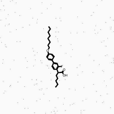 CCCCCCCCOc1ccc(-c2ccc(C(CCCCC)C(=O)O)c(F)c2)cc1